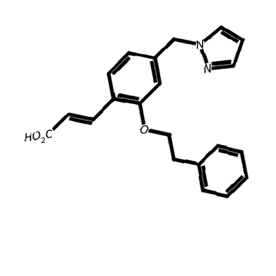 O=C(O)C=Cc1ccc(Cn2cccn2)cc1OCCc1ccccc1